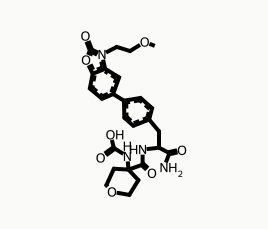 COCCn1c(=O)oc2ccc(-c3ccc(CC(NC(=O)C4(NC(=O)O)CCOCC4)C(N)=O)cc3)cc21